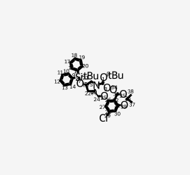 CC(C)(C)OC(=O)N1C[C@H](O[Si](c2ccccc2)(c2ccccc2)C(C)(C)C)C[C@@H]1COc1cc(Cl)cc2c1C(=O)OC(C)(C)O2